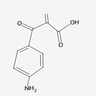 C=C(C(=O)O)C(=O)c1ccc(N)cc1